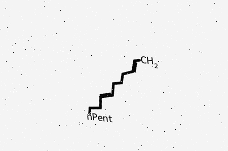 [CH2]C=CCCCC=CCCCCCCC